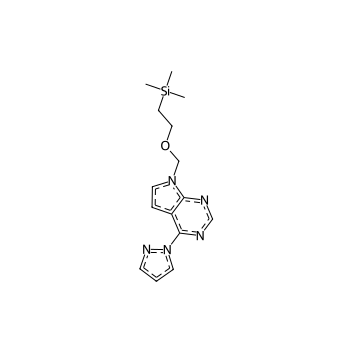 C[Si](C)(C)CCOCn1ccc2c(-n3cccn3)ncnc21